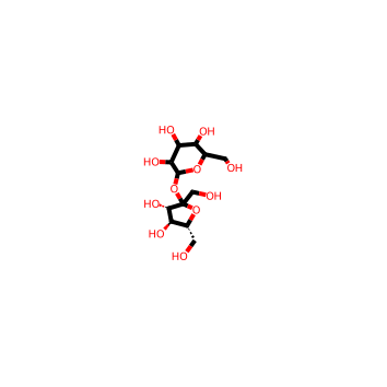 OCC1OC(OC2(CO)O[C@H](CO)[C@@H](O)[C@@H]2O)C(O)C(O)C1O